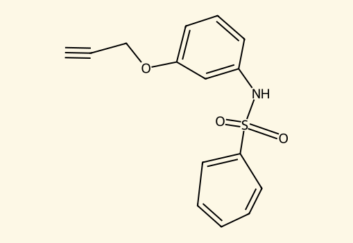 C#CCOc1cccc(NS(=O)(=O)c2ccccc2)c1